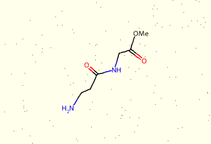 COC(=O)CNC(=O)CCN